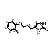 O=c1[nH]cc(CSCOc2ccccc2F)[nH]1